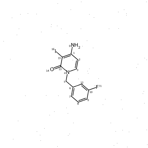 Nc1ccn(Cc2cccc(F)c2)c(=O)c1I